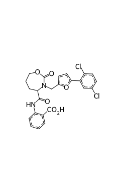 O=C(O)c1ccccc1NC(=O)C1CCCOC(=O)N1Cc1ccc(-c2cc(Cl)ccc2Cl)o1